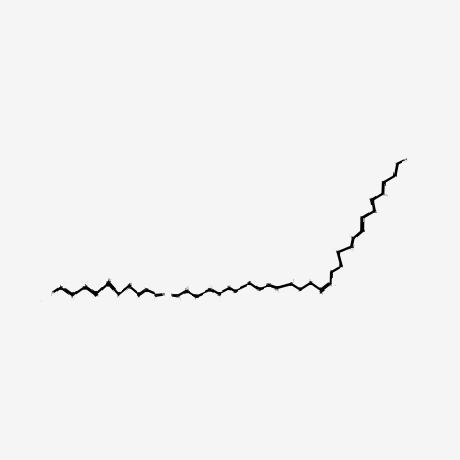 CCCCCCCCCCCCCC/C=C\CCCCCCCCCCCCCCCCCCCCCCCCCC